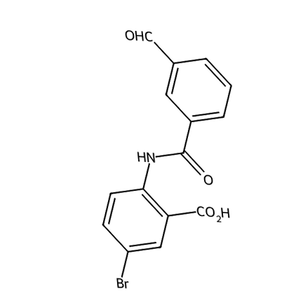 O=Cc1cccc(C(=O)Nc2ccc(Br)cc2C(=O)O)c1